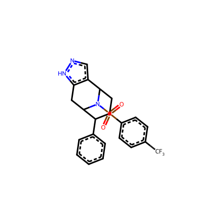 O=S(=O)(c1ccc(C(F)(F)F)cc1)N1C2CCC(c3ccccc3)C1Cc1[nH]ncc12